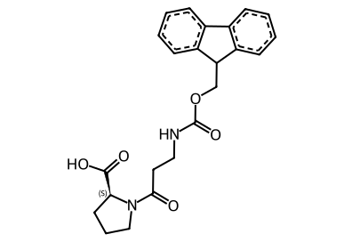 O=C(NCCC(=O)N1CCC[C@H]1C(=O)O)OCC1c2ccccc2-c2ccccc21